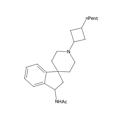 CCCCCC1CC(N2CCC3(CC2)CC(NC(C)=O)c2ccccc23)C1